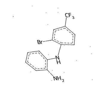 Nc1ccccc1Nc1ccc(C(F)(F)F)cc1Br